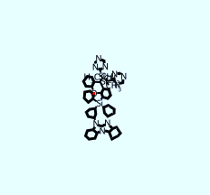 C[Si](C)(c1ncncn1)C1([Si](C)(C)c2ncncn2)c2ccccc2Oc2c1cccc2[Si](c1ccccc1)(c1ccccc1)c1cccc(-n2c3ccccc3n3c4ccccc4nc23)c1